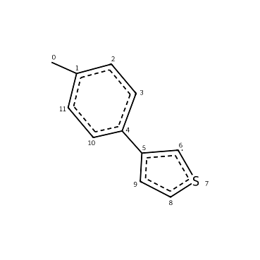 Cc1ccc(-c2[c]scc2)cc1